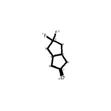 O=C1CC2CC(F)(F)CC2C1